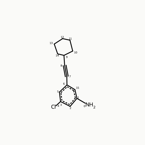 Nc1cc(Cl)cc(C#CC2CCCCC2)c1